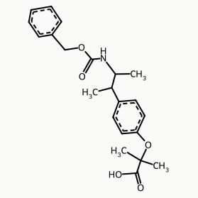 CC(NC(=O)OCc1ccccc1)C(C)c1ccc(OC(C)(C)C(=O)O)cc1